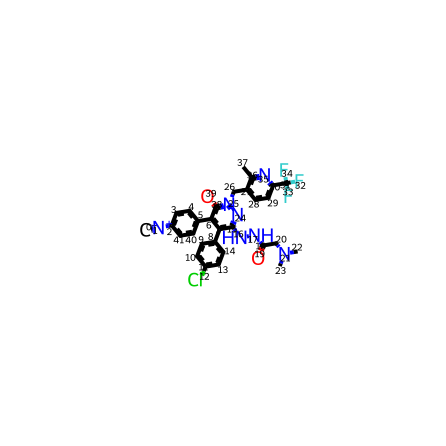 [C-]#[N+]c1ccc(-c2c(-c3ccc(Cl)cc3)c(NNC(=O)CN(C)C)nn(Cc3ccc(C(F)(F)F)nc3C)c2=O)cc1